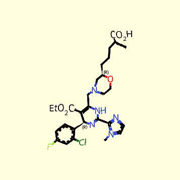 CCOC(=O)C1=C(CN2CCO[C@H](CCCC(C)C(=O)O)C2)NC(c2nccn2C)=N[C@H]1c1ccc(F)cc1Cl